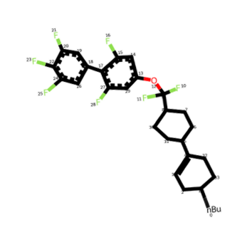 CCCCC1CC=C(C2CCC(C(F)(F)Oc3cc(F)c(-c4cc(F)c(F)c(F)c4)c(F)c3)CC2)CC1